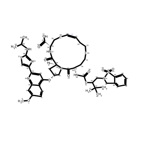 COc1ccc2c(O[C@@H]3C[C@H]4C(=O)N[C@H](C(=O)O)CC/C=C\CCCCC[C@H](NC(=O)OC(CN5Cc6ccccc6S5(=O)=O)C(C)(C)C)C(=O)N4C3)cc(-c3csc(NC(C)C)n3)nc2c1